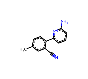 Cc1ccc(-c2cccc(N)n2)c(C#N)c1